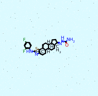 C[C@]12CCc3nc(Nc4ccc(F)cc4F)sc3C1=CC[C@@H]1[C@@H]2CC[C@]2(C)/C(=N/NC(N)=O)CC[C@@H]12